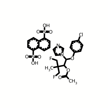 CC(=O)OC(C(Oc1ccc(Cl)cc1)n1ccnc1)C(C)(CF)CF.O=S(=O)(O)c1cccc2c(S(=O)(=O)O)cccc12